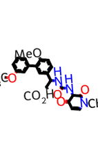 COc1ccc(C(CC(=O)O)NC(=O)NC2C(=O)C=CN(C)C2=O)cc1-c1cccc(OC(F)(F)F)c1